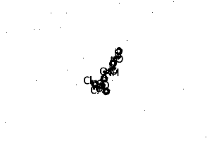 O=C(NCC(=O)N1CCN(CC(=O)N2CCCCC2)CC1)c1ccc(S(=O)(=O)N(Oc2ccc(Cl)cc2Cl)c2ccccc2)cc1